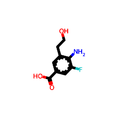 Nc1c(F)cc(C(=O)O)cc1CCO